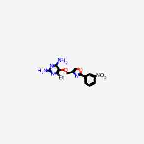 CCc1nc(N)nc(N)c1OCc1coc(-c2cccc([N+](=O)[O-])c2)n1